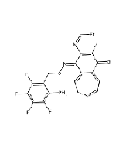 CC/C=N\C1=C(C)C(=O)C2=CC=CCC=C2/C1=N\OCc1c(F)c(F)c(F)c(F)c1P